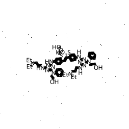 CCN(CC)CCCNc1nc(Nc2ccc(/C=C/c3ccc(Nc4nc(NCCCN(CC)CC)nc(N(CCO)c5ccccc5)n4)cc3S(=O)(=O)O)c(SOOO)c2)nc(N(CCO)c2ccccc2)n1